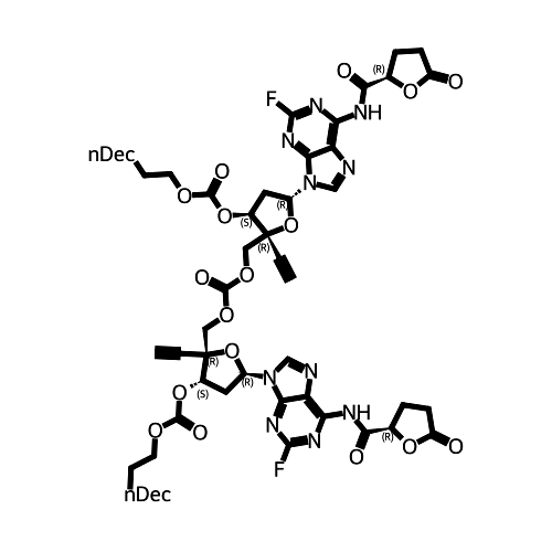 C#C[C@]1(COC(=O)OC[C@@]2(C#C)O[C@@H](n3cnc4c(NC(=O)[C@H]5CCC(=O)O5)nc(F)nc43)C[C@@H]2OC(=O)OCCCCCCCCCCCC)O[C@@H](n2cnc3c(NC(=O)[C@H]4CCC(=O)O4)nc(F)nc32)C[C@@H]1OC(=O)OCCCCCCCCCCCC